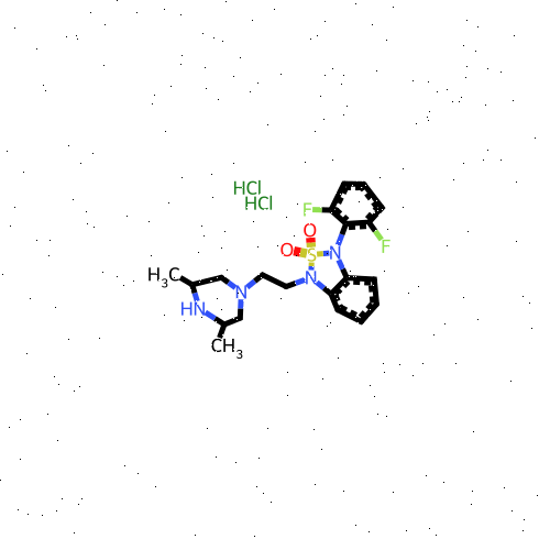 CC1CN(CCN2c3ccccc3N(c3c(F)cccc3F)S2(=O)=O)CC(C)N1.Cl.Cl